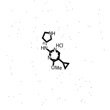 COc1nc(N[C@@H]2CCNC2)ncc1C1CC1.Cl